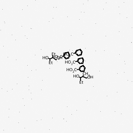 CCC(O)C(C)CO.CCC(O)C(CC)CO.O=C(O)c1ccccc1.O=C(O)c1ccccc1.O=C(O)c1ccccc1.O=C(O)c1ccccc1